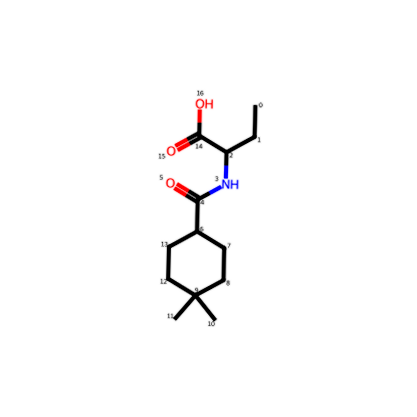 CCC(NC(=O)C1CCC(C)(C)CC1)C(=O)O